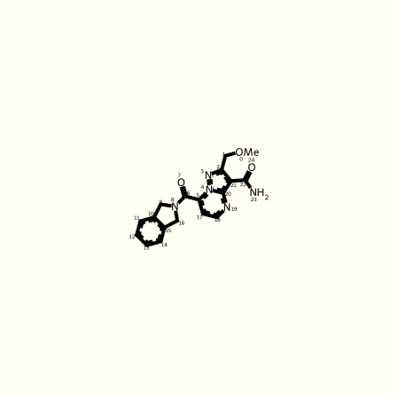 COCc1nn2c(C(=O)N3Cc4ccccc4C3)ccnc2c1C(N)=O